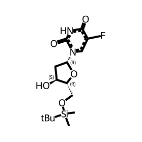 CC(C)(C)[Si](C)(C)OC[C@H]1O[C@@H](n2cc(F)c(=O)[nH]c2=O)C[C@@H]1O